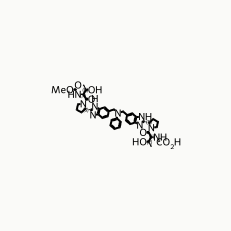 COC(=O)N[C@H](C(=O)N1CCC[C@H]1c1nc2ccc(CN(Cc3ccc4nc([C@@H]5CCCN5C(=O)[C@@H](NC(=O)O)[C@@H](C)O)[nH]c4c3)c3ccccc3)cc2[nH]1)[C@@H](C)O